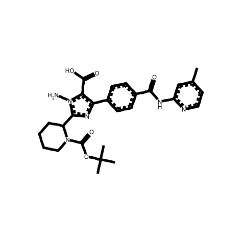 Cc1ccnc(NC(=O)c2ccc(-c3nc(C4CCCCN4C(=O)OC(C)(C)C)n(N)c3C(=O)O)cc2)c1